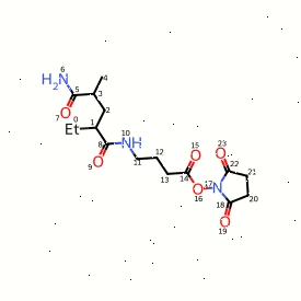 CCC(CC(C)C(N)=O)C(=O)NCCCC(=O)ON1C(=O)CCC1=O